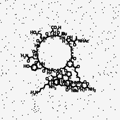 CCCC[C@H](NC(=O)[C@H](Cc1ccccc1)NC(=O)[C@@H]1CCCN1C(=O)[C@H](CC(=O)O)NC(=O)[C@H](C)NC(=O)[C@@H](N)CCCCN)C(=O)N[C@@H](CSCCC(=O)N1CN2CN(C1)C(=O)CSC[C@@H](C)NC(=O)[C@H](Cc1ccc(O)cc1)NC(=O)[C@H](CCC(N)=O)NC(=O)CNC(=O)[C@H](CCC(=O)O)NC(=O)[C@H](CCC(=O)O)NC(=O)[C@H]([C@@H](C)CC)NC(=O)[C@@H](NC(=O)[C@H](C)NC(C)=O)CSCCC2=O)C(=O)N[C@@H](C)C(N)=O